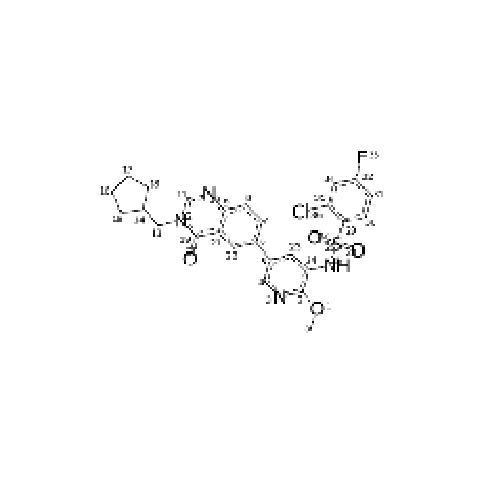 COc1ncc(-c2ccc3ncn(CC4CCCC4)c(=O)c3c2)cc1NS(=O)(=O)c1ccc(F)cc1Cl